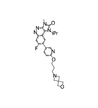 CC(C)n1c(=O)n(C)c2nnc3cc(F)c(-c4ccc(OCCCN5CC6(COC6)C5)nc4)cc3c21